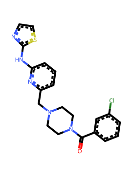 O=C(c1cccc(Cl)c1)N1CCN(Cc2cccc(Nc3nccs3)n2)CC1